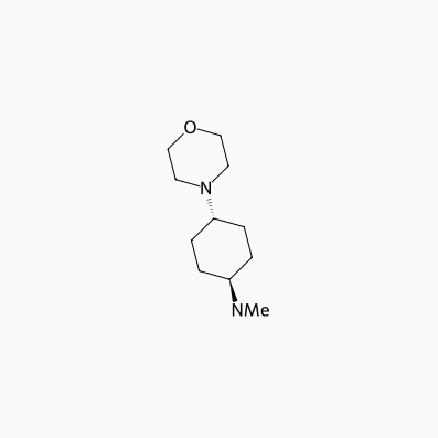 CN[C@H]1CC[C@H](N2CCOCC2)CC1